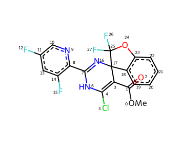 COC(=O)C1=C(Cl)NC(c2ncc(F)cc2F)=NC12c1ccccc1OC2(F)F